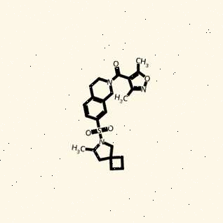 Cc1noc(C)c1C(=O)N1CCc2ccc(S(=O)(=O)N3CC4(CCC4)CC3C)cc2C1